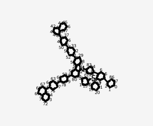 c1ccc(-c2ccc3c(c2)[Si](c2ccccc2)(c2ccccc2)c2cc(-n4c5ccc(-c6ccc(-c7ccc(-c8cccc9ccccc89)cc7)cc6)cc5c5cc(-c6ccc(-c7ccc(-c8cccc9ccccc89)cc7)cc6)ccc54)ccc2-3)cc1